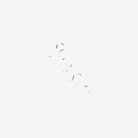 CC(Sc1nnnn1C)C1=C(C(=O)O)N2C(=O)[C@@H](NC(=O)C(OC=O)c3ccccc3)[C@H]2SC1